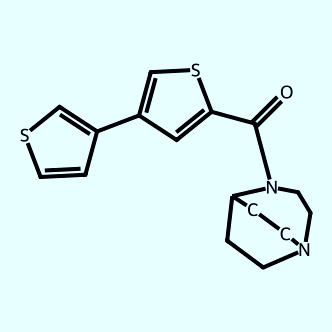 O=C(c1cc(-c2ccsc2)cs1)N1CCN2CCC1CC2